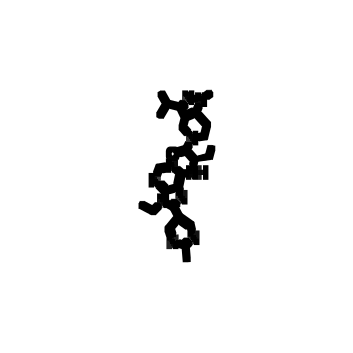 CC[C@@H](Nc1ncnc2c1nc(-c1cnc(C)nc1)n2CC)C(=O)N1CCc2c(c(C(C)C)nn2C)C1